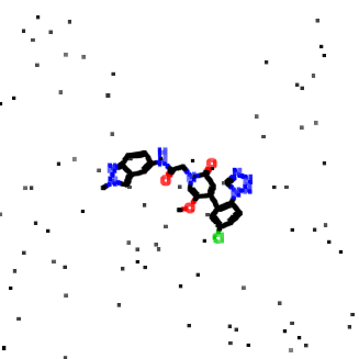 COc1cn(CC(=O)Nc2ccc3nn(C)cc3c2)c(=O)cc1-c1cc(Cl)ccc1-n1cnnn1